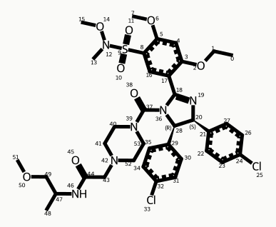 CCOc1cc(OC)c(S(=O)(=O)N(C)OC)cc1C1=N[C@@H](c2ccc(Cl)cc2)[C@@H](c2ccc(Cl)cc2)N1C(=O)N1CCN(CC(=O)NC(C)COC)CC1